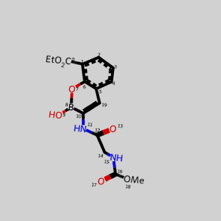 CCOC(=O)c1cccc2c1OB(O)C(NC(=O)CNC(=O)OC)=C2